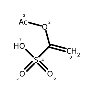 C=C(OC(C)=O)S(=O)(=O)O